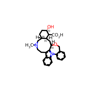 CN1CCc2c3n(c4ccccc24)-c2ccccc2CO[C@H]3C[C@@H]2C(C(=O)O)[C@@H](O)CC[C@H]2C1